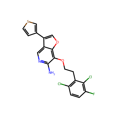 Nc1ncc2c(-c3ccsc3)coc2c1OCCc1c(Cl)ccc(F)c1Cl